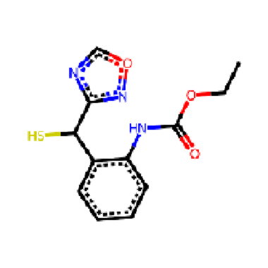 CCOC(=O)Nc1ccccc1C(S)c1ncon1